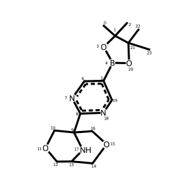 CC1(C)OB(c2cnc(C34COCC(COC3)N4)nc2)OC1(C)C